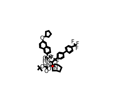 CC(C)(C)OC(=O)NC1CC2CCC(C1)N2C(=O)C(NS(=O)(=O)c1ccc2cc(OC3CCCC3)ccc2c1)C(F)(F)c1ccc(-c2ccc(C(F)(F)F)cc2)cc1